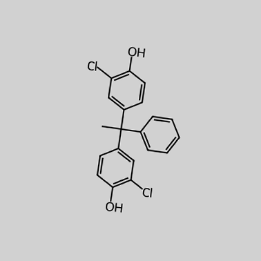 CC(c1ccccc1)(c1ccc(O)c(Cl)c1)c1ccc(O)c(Cl)c1